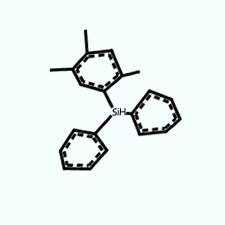 Cc1cc(C)c([SiH](c2ccccc2)c2ccccc2)cc1C